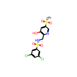 CCCS(=O)(=O)c1cnc(CNS(=O)(=O)c2cc(Cl)cc(Cl)c2)c(O)c1